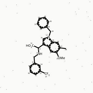 COc1cc2c(C(NCc3cccc(C(F)(F)F)c3)C(=O)O)cn(Cc3ccccc3)c2cc1C